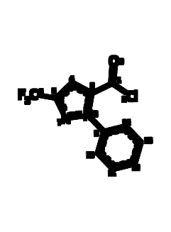 O=C(Cl)c1cc(C(F)(F)F)nn1-c1ccccc1